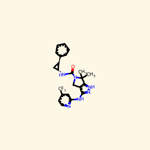 CC1(C)c2[nH]nc(Nc3cc(C(F)(F)F)ccn3)c2CN1C(=O)N[C@@H]1C[C@H]1c1ccccc1